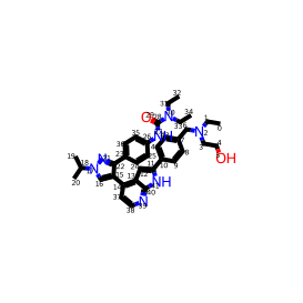 CCN(CCO)Cc1ccc(-c2cc3c(-c4cn(C(C)C)nc4-c4ccc(NC(=O)N(CC)CC)cc4)ccnc3[nH]2)cc1